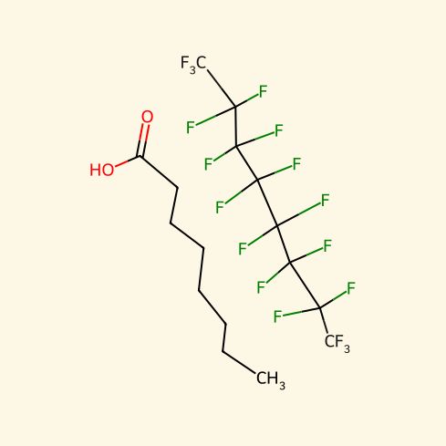 CCCCCCCC(=O)O.FC(F)(F)C(F)(F)C(F)(F)C(F)(F)C(F)(F)C(F)(F)C(F)(F)C(F)(F)F